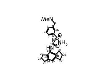 CNCc1cccc(S(N)(=O)=NC(=O)Nc2c3c(cc4c2CCC4)CCC3)c1